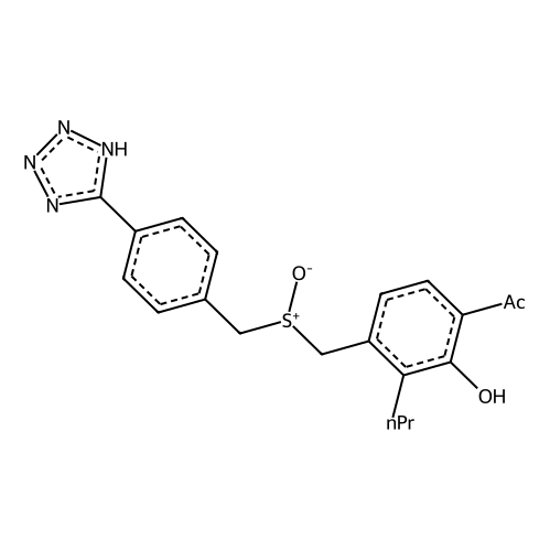 CCCc1c(C[S+]([O-])Cc2ccc(-c3nnn[nH]3)cc2)ccc(C(C)=O)c1O